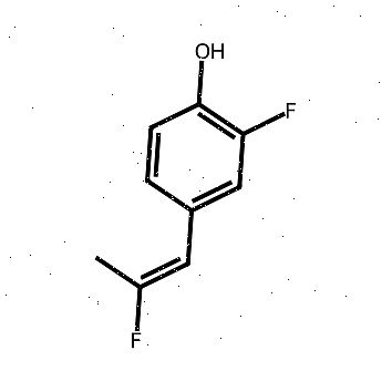 C/C(F)=C\c1ccc(O)c(F)c1